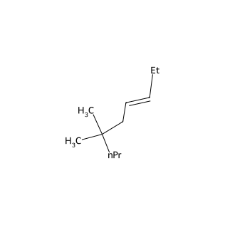 [CH2]CCC(C)(C)C/C=C/CC